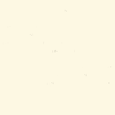 Nc1c(I)c(NC(=O)c2c(I)c(N)c(I)c(C(=O)NC(CO)CO)c2I)c(I)c(C(=O)NC(CO)CO)c1I